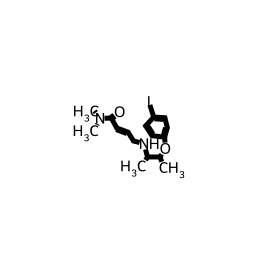 CC(NC/C=C/C(=O)N(C)C)C(C)Oc1ccc(I)cc1